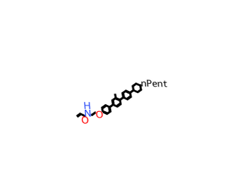 C=CC(=O)NCCOc1ccc(-c2ccc(-c3ccc(C4CCC(CCCCC)CC4)cc3)c(C)c2)cc1